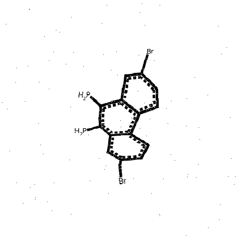 Pc1c(P)c2cc(Br)ccc2c2ccc(Br)cc12